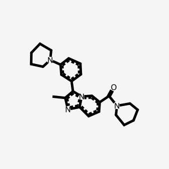 Cc1nc2ccc(C(=O)N3CCCCC3)cn2c1-c1cccc(N2CCCCC2)c1